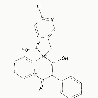 O=C1C(c2ccccc2)=C(O)[N+](Cc2ccc(Cl)nc2)(C(=O)O)c2cccc[n+]21